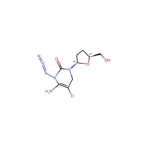 [N-]=[N+]=NN1C(=O)N([C@H]2CC[C@@H](CO)O2)CC(Cl)=C1N